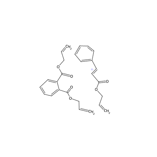 C=CCOC(=O)/C=C/c1ccccc1.C=CCOC(=O)c1ccccc1C(=O)OCC=C